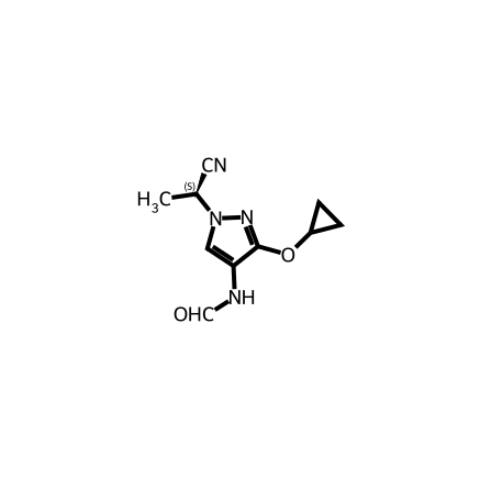 C[C@@H](C#N)n1cc(NC=O)c(OC2CC2)n1